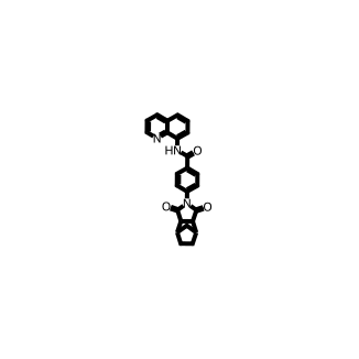 O=C(Nc1cccc2cccnc12)c1ccc(N2C(=O)C3C4CCC(C4)C3C2=O)cc1